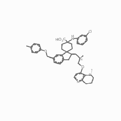 Cc1ccc(OCc2ccc3c(c2)C2(CCC(Nc4cccc(Cl)c4)(C(=O)O)CC2)C(C[C@@H](C)COc2ccnc4c2[C@H](C)CCC4)C3)cc1